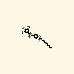 CCCCCCCCOC(=O)Oc1ccc(-c2noc(-c3cc(OC)c(OC)c(OC)c3)n2)cc1